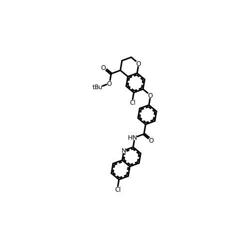 CC(C)(C)OC(=O)C1CCOc2cc(Oc3ccc(C(=O)Nc4ccc5cc(Cl)ccc5n4)cc3)c(Cl)cc21